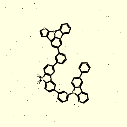 O=S1(=O)c2ccc(-c3cccc(-c4cc5c6ccccc6n6c7sccc7c(c4)c56)c3)cc2-c2cc(-c3cccc(-n4c5ccccc5c5cc(-c6ccccc6)ccc54)c3)ccc21